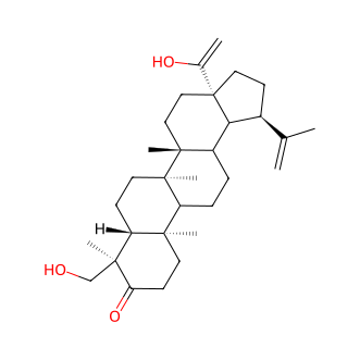 C=C(C)[C@@H]1CC[C@]2(C(=C)O)CC[C@]3(C)C(CCC4[C@@]5(C)CCC(=O)[C@@](C)(CO)[C@@H]5CC[C@]43C)C12